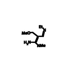 CC/N=C\C(COC)=C(\N)NC